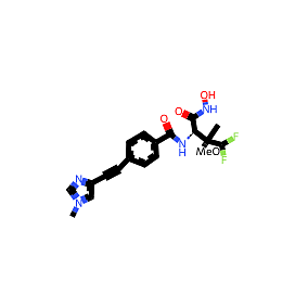 COC(C)(C(F)F)[C@H](NC(=O)c1ccc(C#Cc2cn(C)cn2)cc1)C(=O)NO